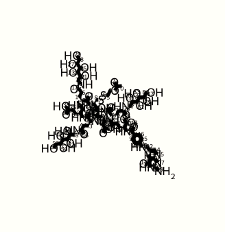 CC(=O)OCCSSC[C@H](NC(=O)[C@H](CCC(=O)NC[C@H](O)[C@@H](O)[C@H](O)[C@H](O)CO)NC(=O)[C@H](CCC(=O)O)NC(=O)[C@H](CCC(=O)NC[C@H](O)[C@@H](O)[C@H](O)[C@H](O)CO)NC(=O)[C@H](CCC(=O)O)NC(=O)[C@H](CCC(=O)NC[C@H](O)[C@@H](O)[C@H](O)[C@H](O)CO)NC(=O)CC[C@H](NC(=O)c1ccc(NCc2cnc3nc(N)[nH]c(=O)c3n2)cc1)C(=O)O)C(=O)O